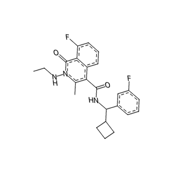 CCNn1c(C)c(C(=O)NC(c2cccc(F)c2)C2CCC2)c2cccc(F)c2c1=O